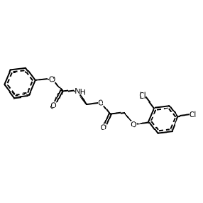 O=C(COc1ccc(Cl)cc1Cl)OCNC(=O)Oc1ccccc1